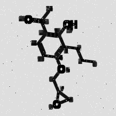 CCCc1c(OCC2CO2)ccc(C(C)=O)c1O